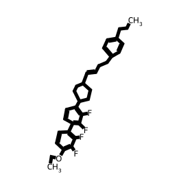 CCCc1ccc(CCC=CC2CCC(c3ccc(-c4ccc(OCC)c(F)c4F)c(F)c3F)CC2)cc1